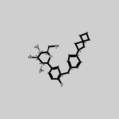 OC[C@H]1OC(c2ccc(Cl)c(Cc3ccc(C4CC5(CCC5)C4)cc3)c2)[C@H](O)[C@@H](O)[C@@H]1O